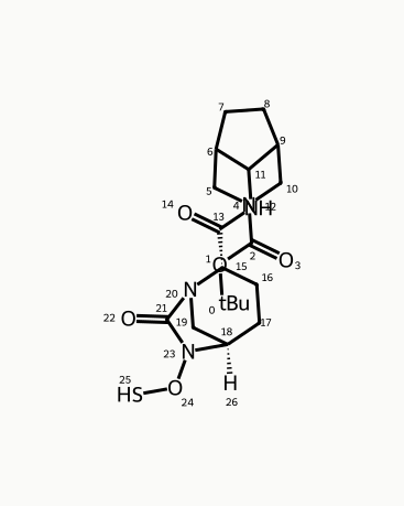 CC(C)(C)OC(=O)N1CC2CCC(C1)C2NC(=O)[C@@H]1CC[C@@H]2CN1C(=O)N2OS